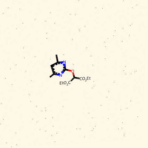 CCOC(=O)C(Oc1nc(C)cc(C)n1)C(=O)OCC